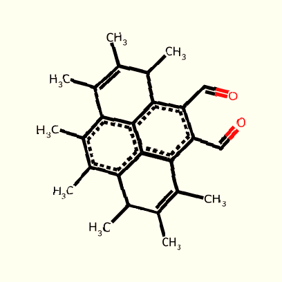 CC1=C(C)C(C)c2c(C)c(C)c3c4c(c(C=O)c(C=O)c1c24)C(C)C(C)=C3C